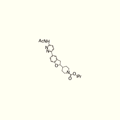 CC(=O)Nc1ccc(-c2ccc3c(c2)CC(C2CCN(C(=O)OC(C)C)CC2)O3)nn1